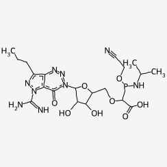 CCCc1nn(C(=N)N)c2c(=O)n(C3OC(COC(C(=O)O)P(NC(C)C)OCC#N)C(O)C3O)nnc12